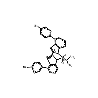 CCCC[SiH](C)[Zr]([Cl])([Cl])([CH]1C(C)=Cc2c(-c3ccc(C(C)(C)C)cc3)cccc21)[CH]1C(C)=Cc2c(-c3ccc(C(C)(C)C)cc3)cccc21